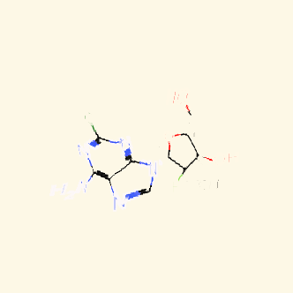 C[C@@]1(F)[C@H](O)[C@@H](CO)O[C@H]1n1cnc2c(N)nc(Cl)nc21